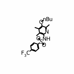 CCCCOc1c(C)nc(NS(=O)(=O)c2ccc(C(F)(F)F)cc2)c(C)c1C